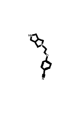 N#Cc1ccc(OCCN2CC3CNCC3C2)cc1